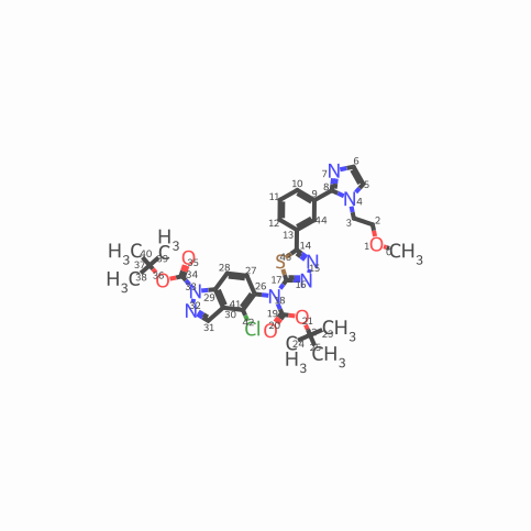 COCCn1ccnc1-c1cccc(-c2nnc(N(C(=O)OC(C)(C)C)c3ccc4c(cnn4C(=O)OC(C)(C)C)c3Cl)s2)c1